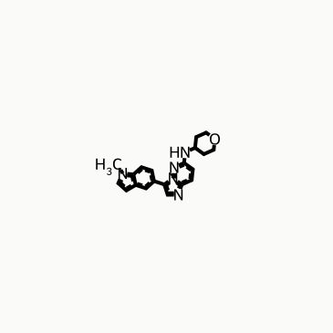 Cn1ccc2cc(-c3cnc4ccc(NC5CCOCC5)nn34)ccc21